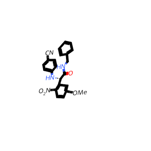 COc1ccc([N+](=O)[O-])c([C@H](Nc2ccc(C#N)cc2)C(=O)NCc2ccccc2)c1